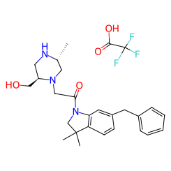 C[C@@H]1CN(CC(=O)N2CC(C)(C)c3ccc(Cc4ccccc4)cc32)[C@@H](CO)CN1.O=C(O)C(F)(F)F